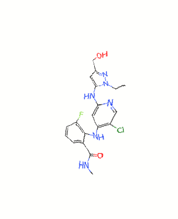 CCn1nc(CO)cc1Nc1cc(Nc2c(F)cccc2C(=O)NC)c(Cl)cn1